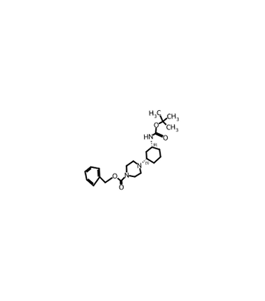 CC(C)(C)OC(=O)N[C@@H]1CCC[C@H](N2CCN(C(=O)OCc3ccccc3)CC2)C1